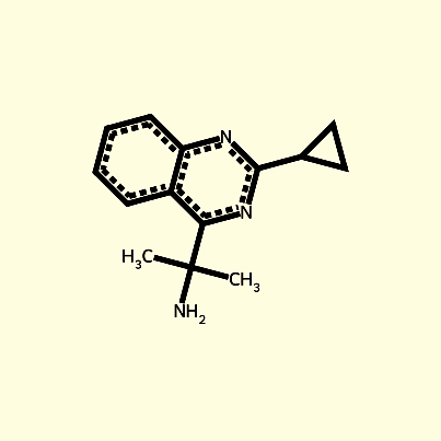 CC(C)(N)c1nc(C2CC2)nc2ccccc12